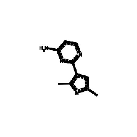 Cc1nn(C)cc1-c1nccc(N)n1